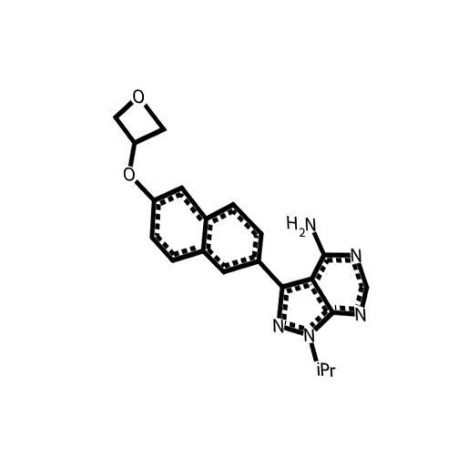 CC(C)n1nc(-c2ccc3cc(OC4COC4)ccc3c2)c2c(N)ncnc21